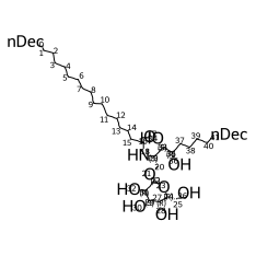 CCCCCCCCCCCCCCCCCCCCCCCCCC(=O)N[C@@H](CO[C@H]1O[C@H](CO)[C@H](O)[C@H](O)[C@H]1O)[C@H](O)[C@H](O)CCCCCCCCCCCCCC